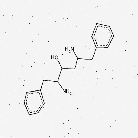 NC(Cc1ccccc1)CC(O)C(N)Cc1ccccc1